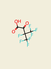 O=C(O)C(=O)C(F)(C(F)(F)F)C(F)(F)F